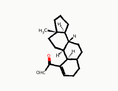 C[C@@]12CCC[C@H]1[C@@H]1CCC3CCC=C(C(=O)C=O)[C@H]3[C@H]1CC2